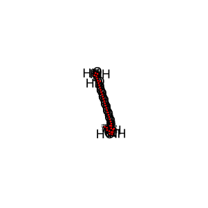 O=C(CCCC[C@@H]1SC[C@@H]2NC(=O)N[C@@H]21)NCCOCCOCCOCCOCCOCCOCCOCCOCCOCCOCCOCCn1cc(-c2ccc(C[C@H]3NC[C@H](O)[C@H]3OC(=O)NCc3ccccc3)cc2)nn1